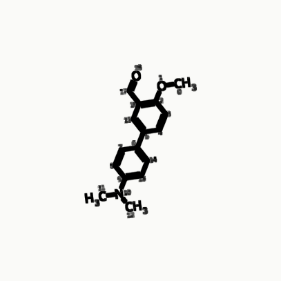 COc1ccc(-c2ccc(N(C)C)cc2)cc1C=O